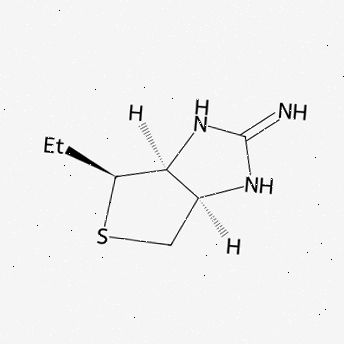 CC[C@@H]1SC[C@@H]2NC(=N)N[C@@H]21